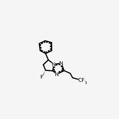 F[C@@H]1CC(c2ccccc2)n2nc(CCC(F)(F)F)nc21